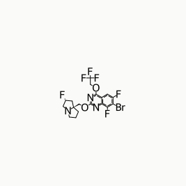 Fc1cc2c(OCC(F)(F)F)nc(OC[C@@]34CCCN3C[C@H](F)C4)nc2c(F)c1Br